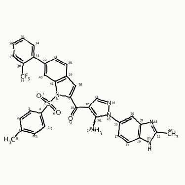 Cc1ccc(S(=O)(=O)n2c(C(=O)c3cnn(-c4ccc5[nH]c(C)nc5c4)c3N)cc3ccc(-c4ccccc4C(F)(F)F)cc32)cc1